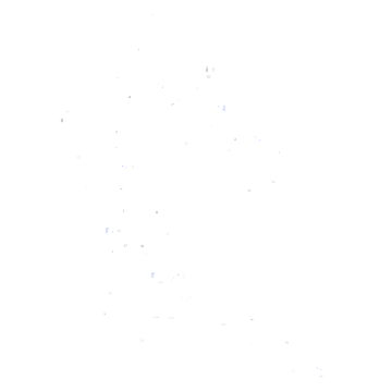 CCCO[C@H](C[C@H](C(C)C)N(COCC)C(=O)[C@@H](NC(=O)[C@H]1CCCCN1C)[C@@H](C)CC)c1nc(C(=O)N[C@@H](Cc2ccccc2)C(=O)NNC(=O)OCCOCCN)cs1